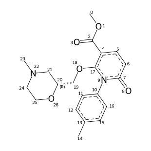 COC(=O)c1ccc(=O)n(-c2ccc(C)cc2)c1OC[C@H]1CN(C)CCO1